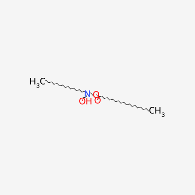 CCCCCCCCCCCCCCCCCCCC(=O)OCCN(CCO)CCCCCCCCCCCCCCCC